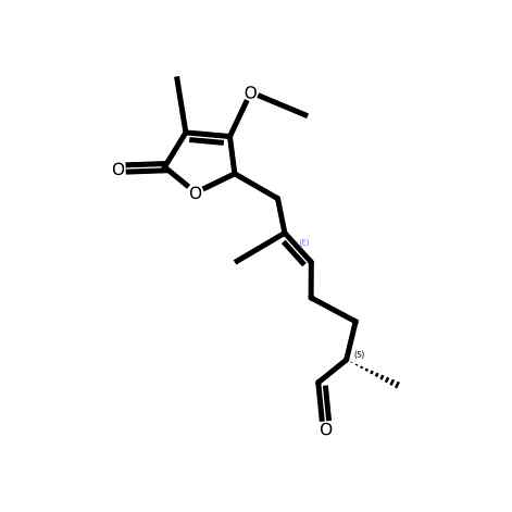 COC1=C(C)C(=O)OC1C/C(C)=C/CC[C@H](C)C=O